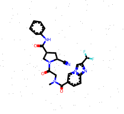 CN(CC(=O)N1CC(C(=O)Nc2ccccc2)CC1C#N)C(=O)c1ccc2nc(C(F)F)cn2c1